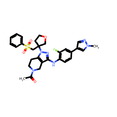 CC(=O)N1CCc2c(c(Nc3ccc(-c4cnn(C)c4)cc3F)nn2C2(CS(=O)(=O)c3ccccc3)CCOC2)C1